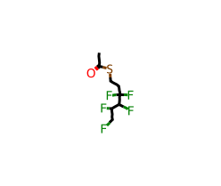 CC(=O)SCCC(F)(F)C(F)C(F)CF